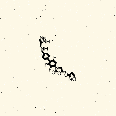 O=C1O[C@@H](COc2ccon2)CN1c1cc(F)c(-c2ccc(CNCc3cnn[nH]3)cc2)c(F)c1F